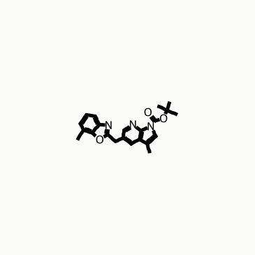 Cc1cn(C(=O)OC(C)(C)C)c2ncc(Cc3nc4cccc(C)c4o3)cc12